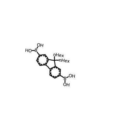 CCCCCCC1(CCCCCC)c2cc(B(O)O)ccc2-c2ccc(B(O)O)cc21